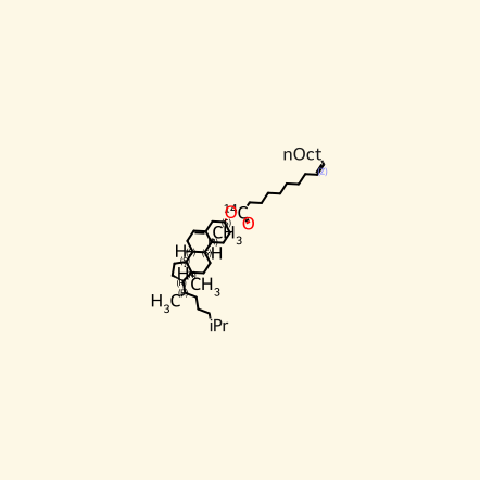 CCCCCCCC/C=C\CCCCCCC[14C](=O)O[C@H]1CC[C@@]2(C)C(=CC[C@H]3[C@@H]4CC[C@H]([C@H](C)CCCC(C)C)[C@@]4(C)CC[C@@H]32)C1